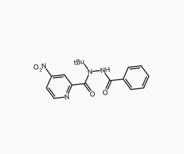 CC(C)(C)N(NC(=O)c1ccccc1)C(=O)c1cc([N+](=O)[O-])ccn1